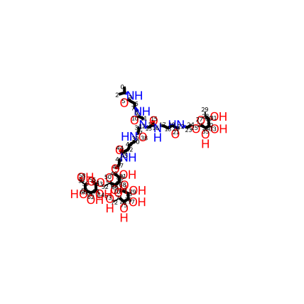 CC(C)NC(=O)CCNC(=O)CN(CC(=O)NCCCC(=O)NCCO[C@@H]1O[C@@H](C)[C@@H](O)[C@@H](O)[C@@H]1O)CC(=O)NCCCC(=O)NCCO[C@H]1O[C@H](CO[C@H]2O[C@H](CO)[C@@H](O)[C@H](O)[C@@H]2O)[C@@H](O)[C@H](O[C@H]2O[C@H](CO)[C@@H](O)[C@H](O)[C@@H]2O)[C@@H]1O